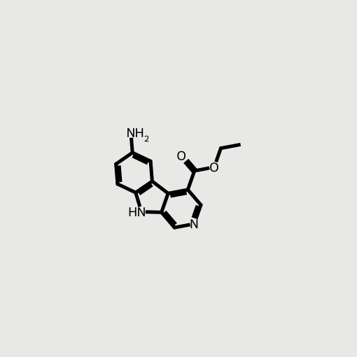 CCOC(=O)c1cncc2[nH]c3ccc(N)cc3c12